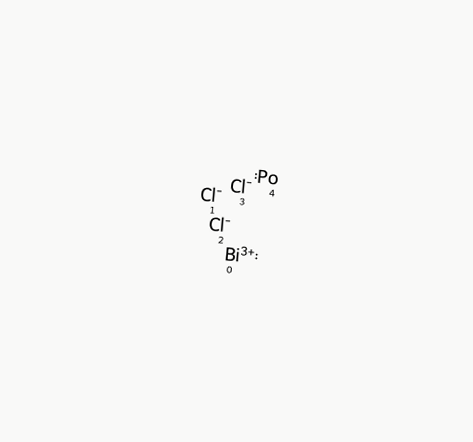 [Bi+3].[Cl-].[Cl-].[Cl-].[Po]